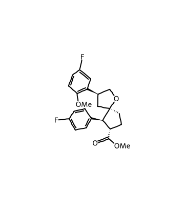 COC(=O)[C@H]1CC[C@@]2(C[C@@H](c3cc(F)ccc3OC)CO2)[C@@H]1c1ccc(F)cc1